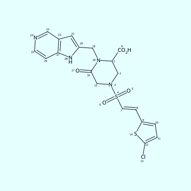 O=C(O)C1CN(S(=O)(=O)C=Cc2ccc(Cl)s2)CC(=O)N1Cc1cc2cnccc2[nH]1